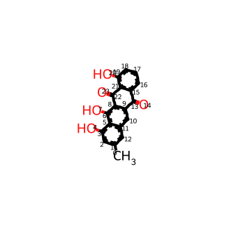 Cc1cc(O)c2c(O)c3c(cc2c1)C(=O)c1cccc(O)c1C3=O